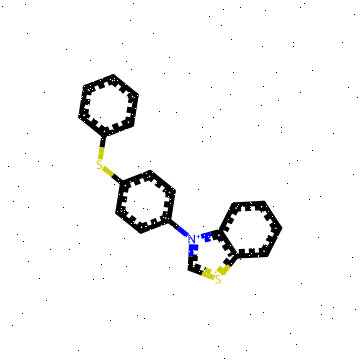 c1ccc(Sc2ccc(-[n+]3csc4ccccc43)cc2)cc1